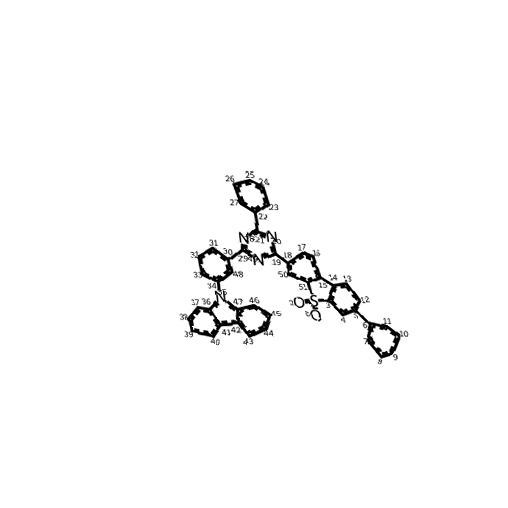 O=S1(=O)c2cc(-c3ccccc3)ccc2-c2ccc(-c3nc(-c4ccccc4)nc(-c4cccc(-n5c6ccccc6c6ccccc65)c4)n3)cc21